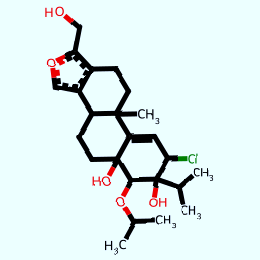 CC(C)OC1C2(O)CCC3c4coc(CO)c4CCC3(C)C2=CC(Cl)C1(O)C(C)C